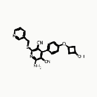 N#Cc1c(N)nc(SCc2cccnc2)c(C#N)c1-c1ccc(OC2CC(O)C2)cc1